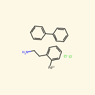 NCCc1cccc[c]1[Pd+2].[Cl-].[Cl-].c1ccc(-c2ccccc2)cc1